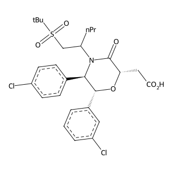 CCCC(CS(=O)(=O)C(C)(C)C)N1C(=O)[C@H](CC(=O)O)O[C@H](c2cccc(Cl)c2)[C@H]1c1ccc(Cl)cc1